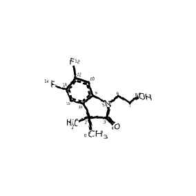 CC1(C)C(=O)N(CCO)c2cc(F)c(F)cc21